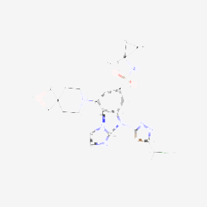 N#CC1(NS(=O)(=O)c2cc(N3CCC4(CC3)COC4)c3c(c2)n(-c2nnc(C(F)F)s2)c2nccn32)CC1